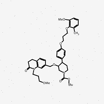 COCCCN1C(=O)CCc2ccc(COC3CN(C(=O)OC(C)(C)C)CCC3c3ccc(OCCCOc4c(C)cccc4OC)cc3)cc21